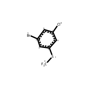 FC(F)(F)Sc1[c]c(Br)cc(Cl)c1